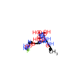 Cc1ccc(CCCC(=O)NCCCCC(N/N=C\CCC(=O)N2CCC(CCCCOc3ccc4nccc(C(=O)NCC(=O)N5CC(F)(F)C[C@@H]5C#N)c4c3)CC2)NC(=O)CN2CCN(CC(=O)O)CCN(CC(=O)O)CCN(CC(=O)O)CC2)cc1